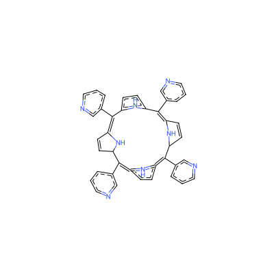 C1=CC2N/C1=C(/c1cccnc1)c1ccc([nH]1)/C(c1cccnc1)=C1/C=CC(N1)/C(c1cccnc1)=c1/cc/c([nH]1)=C/2c1cccnc1